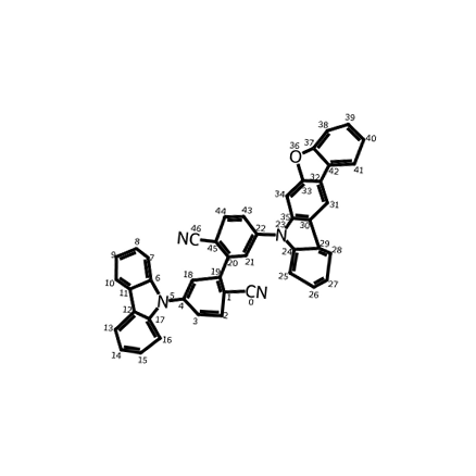 N#Cc1ccc(-n2c3ccccc3c3ccccc32)cc1-c1cc(-n2c3ccccc3c3cc4c(cc32)oc2ccccc24)ccc1C#N